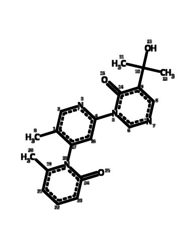 Cc1cnc(-n2cncc(C(C)(C)O)c2=O)cc1-n1c(C)cccc1=O